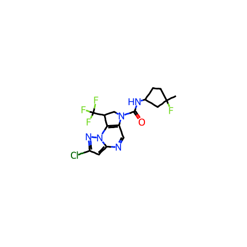 CC1(F)CCC(NC(=O)N2CC(C(F)(F)F)c3c2cnc2cc(Cl)nn32)C1